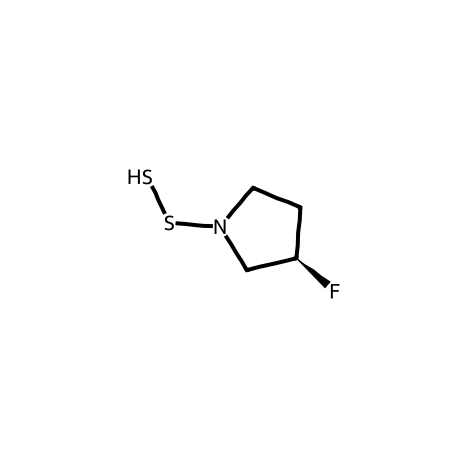 F[C@@H]1CCN(SS)C1